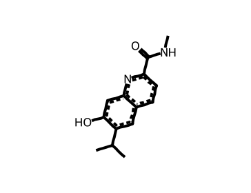 CNC(=O)c1ccc2cc(C(C)C)c(O)cc2n1